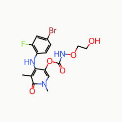 Cc1c(Nc2ccc(Br)cc2F)c(OC(=O)NOCCO)cn(C)c1=O